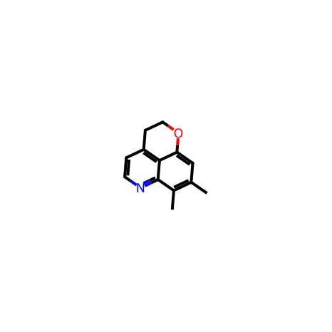 Cc1cc2c3c(ccnc3c1C)CCO2